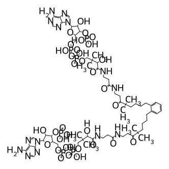 CC(C)(CCCCc1ccccc1CCCCC(C)(C)C(=O)CCNC(=O)CCNC(=O)C(O)C(C)(C)COP(=O)(O)OP(=O)(O)OCC1OC(n2cnc3c(N)ncnc32)C(O)C1OP(=O)(O)O)C(=O)CCNC(=O)CCNC(=O)C(O)C(C)(C)COP(=O)(O)OP(=O)(O)OCC1OC(n2cnc3c(N)ncnc32)C(O)C1OP(=O)(O)O